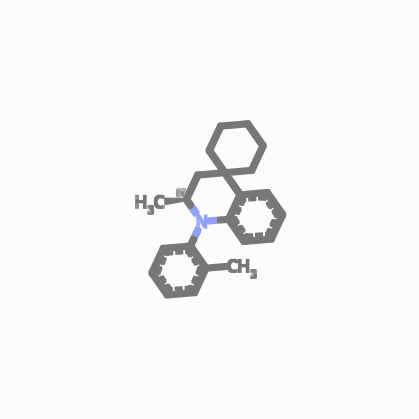 Cc1ccccc1N1c2ccccc2C2(CCCCC2)C[C@@H]1C